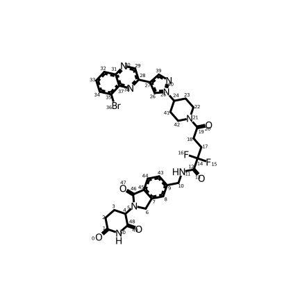 O=C1CCC(N2Cc3cc(CNC(=O)C(F)(F)CCC(=O)N4CCC(n5cc(-c6cnc7cccc(Br)c7n6)cn5)CC4)ccc3C2=O)C(=O)N1